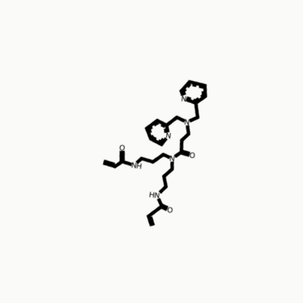 C=CC(=O)NCCCN(CCCNC(=O)C=C)C(=O)CCN(Cc1ccccn1)Cc1ccccn1